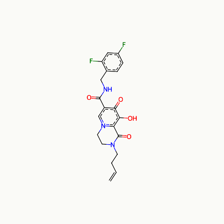 C=CCCN1CCn2cc(C(=O)NCc3ccc(F)cc3F)c(=O)c(O)c2C1=O